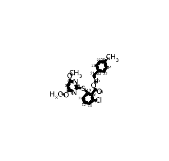 COc1cc(OC)nc(Sc2cccc(Cl)c2C(=O)O/N=C/c2ccc(C)cc2)n1